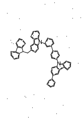 c1ccc(-c2ccc3c(c2)c2ccccc2n3-c2ccc(-c3cccc(-n4c5ccccc5c5cc(CC6c7ccccc7-c7ccccc76)ccc54)c3)cc2)cc1